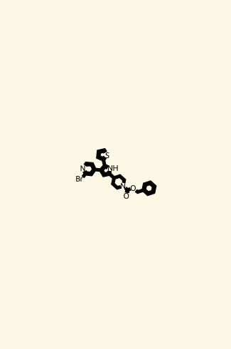 O=C(OCc1ccccc1)N1CCC(c2cc(-c3ccnc(Br)c3)c(-c3cccs3)[nH]2)CC1